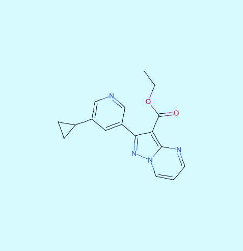 CCOC(=O)c1c(-c2cncc(C3CC3)c2)nn2cccnc12